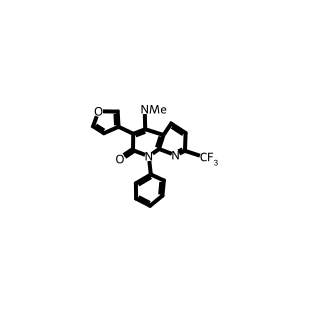 CNc1c(-c2ccoc2)c(=O)n(-c2ccccc2)c2nc(C(F)(F)F)ccc12